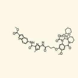 COC(=O)c1cc2cc(NC(=O)c3nc(NC(=O)CCCOc4cc5c(cc4OC)C(=O)N4CCCC[C@H]4C(OC4CCCCO4)N5C(=O)O)cn3C)ccc2s1